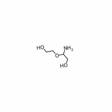 NC(CO)OCCO